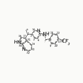 CC(c1ccc(NCc2ccc(C(F)(F)F)cc2)nc1)c1c[nH]c2ncccc12